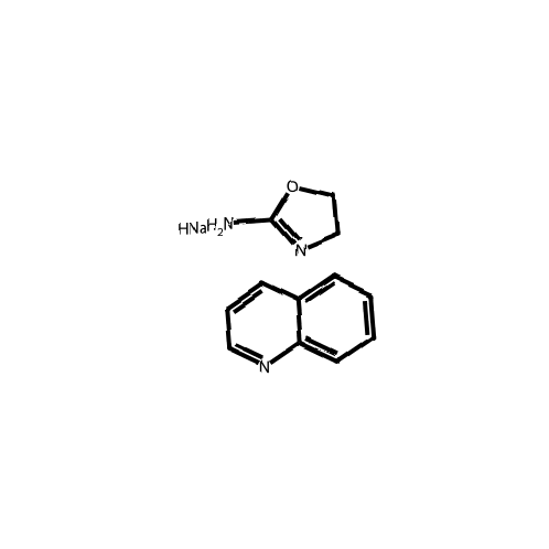 NC1=NCCO1.[NaH].c1ccc2ncccc2c1